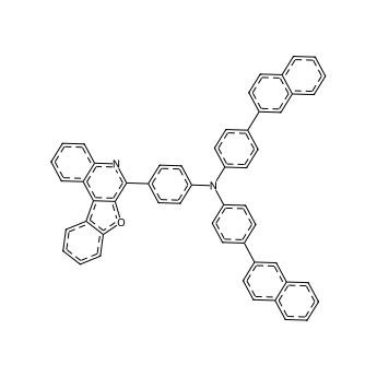 c1ccc2cc(-c3ccc(N(c4ccc(-c5ccc6ccccc6c5)cc4)c4ccc(-c5nc6ccccc6c6c5oc5ccccc56)cc4)cc3)ccc2c1